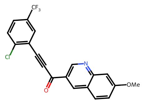 COc1ccc2cc(C(=O)C#Cc3cc(C(F)(F)F)ccc3Cl)cnc2c1